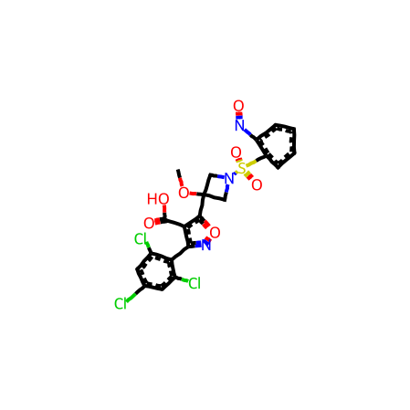 COC1(c2onc(-c3c(Cl)cc(Cl)cc3Cl)c2C(=O)O)CN(S(=O)(=O)c2ccccc2N=O)C1